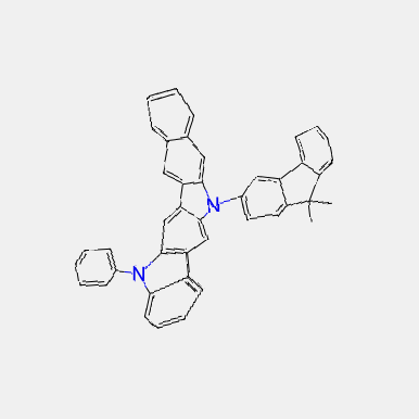 CC1(C)c2ccccc2-c2cc(-n3c4cc5ccccc5cc4c4cc5c(cc43)c3ccccc3n5-c3ccccc3)ccc21